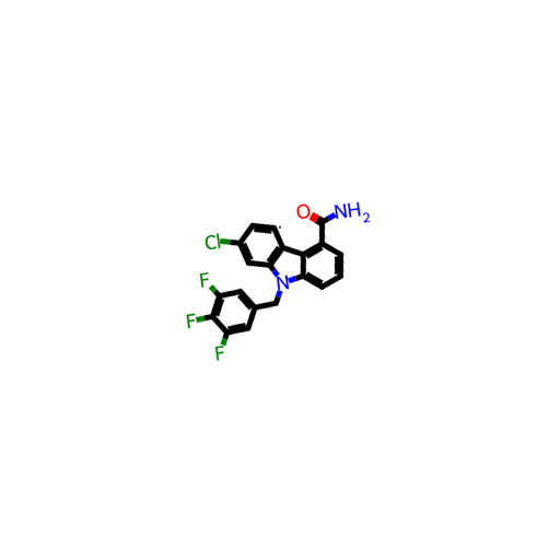 NC(=O)c1cccc2c1c1[c]cc(Cl)cc1n2Cc1cc(F)c(F)c(F)c1